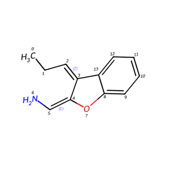 CC/C=c1\c(=C/N)oc2ccccc12